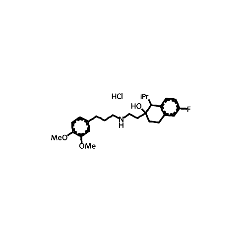 COc1ccc(CCCNCCC2(O)CCc3cc(F)ccc3C2C(C)C)cc1OC.Cl